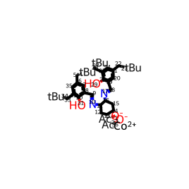 CC(=O)[O-].CC(=O)[O-].CC(C)(C)Cc1cc(C=NC2CCCCC2N=Cc2cc(CC(C)(C)C)cc(CC(C)(C)C)c2O)c(O)c(CC(C)(C)C)c1.[Co+2]